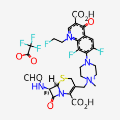 C[N+]1(CC2=C(C(=O)O)N3C(=O)[C@@H](NC=O)[C@H]3SC2)CCN(c2c(F)cc3c(=O)c(C(=O)O)cn(CCF)c3c2F)CC1.O=C([O-])C(F)(F)F